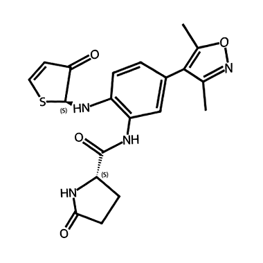 Cc1noc(C)c1-c1ccc(N[C@H]2SC=CC2=O)c(NC(=O)[C@@H]2CCC(=O)N2)c1